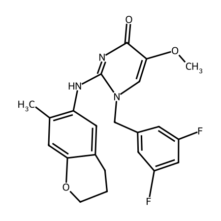 COc1cn(Cc2cc(F)cc(F)c2)c(Nc2cc3c(cc2C)OCCC3)nc1=O